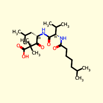 CC(C)CCCCC(=O)N[C@H](C(=O)N[C@@H](CC(C)C)C(=O)C(C)(C)C(=O)O)C(C)C